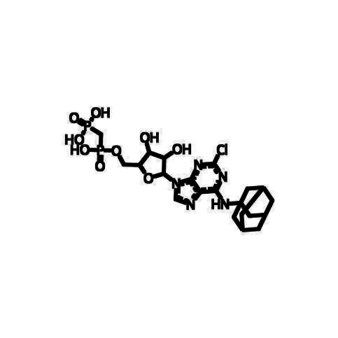 O=P(O)(O)CP(=O)(O)OCC1OC(n2cnc3c(NC45CC6CC(CC(C6)C4)C5)nc(Cl)nc32)C(O)C1O